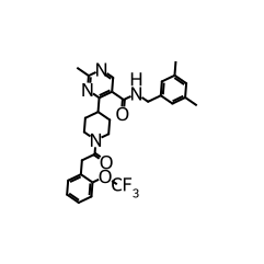 Cc1cc(C)cc(CNC(=O)c2cnc(C)nc2C2CCN(C(=O)Cc3ccccc3OC(F)(F)F)CC2)c1